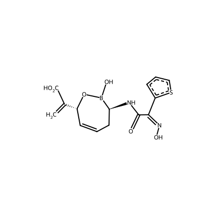 C=C(C(=O)O)[C@H]1C=CC[C@H](NC(=O)/C(=N\O)c2cccs2)B(O)O1